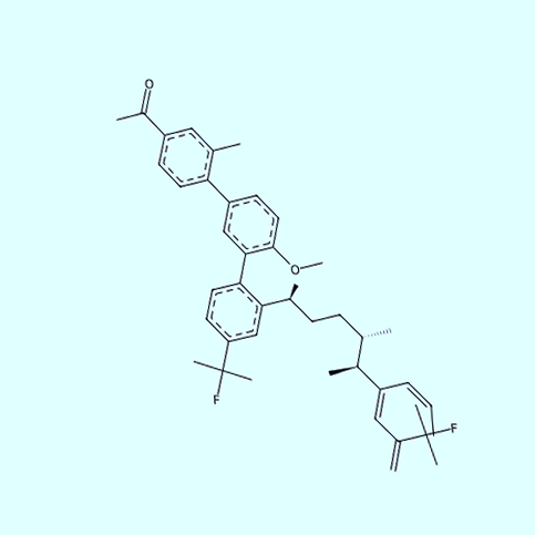 C=C(/C=C(\C=C/C)[C@@H](C)[C@@H](C)CC[C@H](C)c1cc(C(C)(C)F)ccc1-c1cc(-c2ccc(C(C)=O)cc2C)ccc1OC)C(C)(C)F